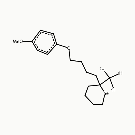 [2H]C([2H])([2H])C1(CCCCOc2ccc(OC)cc2)CCCC[Se]1